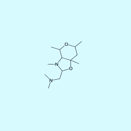 CC1CC2(C)OC(CN(C)C)N(C)C2C(C)O1